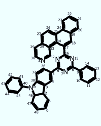 C1=CC2c3cc(-c4nc(-c5ccccc5)nc(-c5cc6ccccc6c6ccc7ccncc7c56)n4)ccc3N(c3ccccc3)C2C=C1